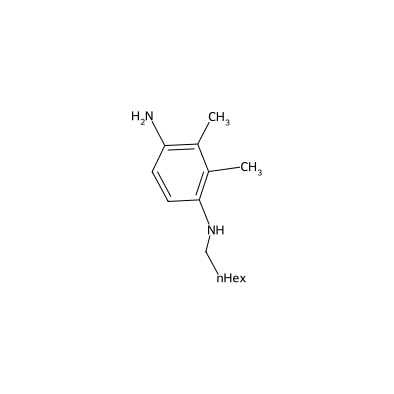 CCCCCCCNc1ccc(N)c(C)c1C